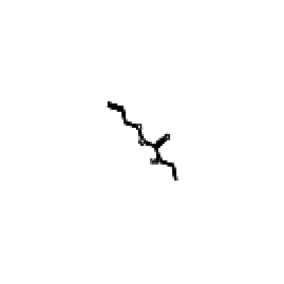 C=CCOOC(=O)NCC